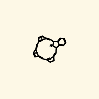 C1=CC2=NC1=CC1NC(C=C3CCC(=N3)C=c3ccc([nH]3)=C2)c2ccccc21